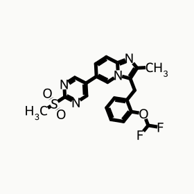 Cc1nc2ccc(-c3cnc(S(C)(=O)=O)nc3)cn2c1Cc1ccccc1OC(F)F